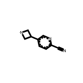 N#Cc1ccc(C2C[N]C2)cn1